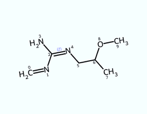 C=N/C(N)=N\CC(C)OC